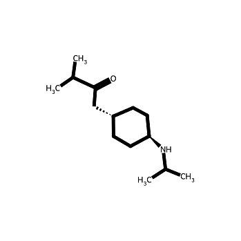 CC(C)N[C@H]1CC[C@H](CC(=O)C(C)C)CC1